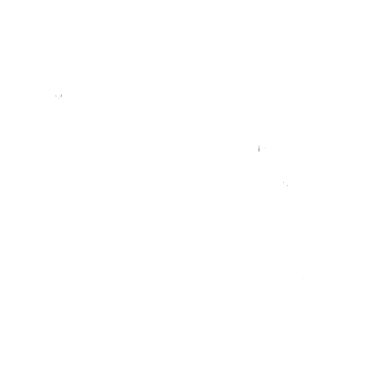 COCCCOc1cc(C(O)C(CC(NC(=O)O)C2CC(C(C)C)C(=O)O2)C(C)C)ccc1Cl